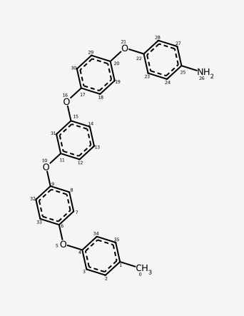 Cc1ccc(Oc2ccc(Oc3cccc(Oc4ccc(Oc5ccc(N)cc5)cc4)c3)cc2)cc1